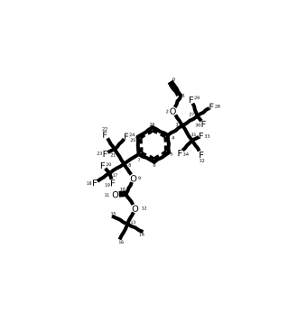 C=COC(c1ccc(C(OC(=O)OC(C)(C)C)(C(F)(F)F)C(F)(F)F)cc1)(C(F)(F)F)C(F)(F)F